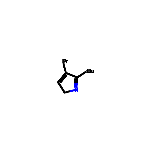 CC(C)C1=CCN=C1C(C)(C)C